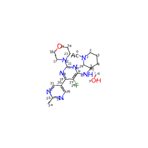 CC(=O)N1CCC[C@@](CO)(Nc2nc(N3CCOCC3)nc(-c3cnc(C)nc3)c2F)C1